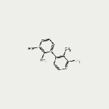 Cc1nccc(-c2cccc(O)c2N)c1C